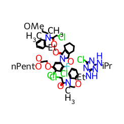 CC1COc2ccccc2N1C(=O)C(Cl)Cl.CCCCCOC(=O)COc1cc(N2C(=O)C3=C(CCCC3)C2=O)c(F)cc1Cl.CCNc1nc(Cl)nc(NC(C)C)n1.CCc1cccc(C)c1N(C(=O)CCl)C(C)COC